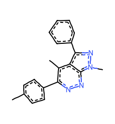 Cc1ccc(-c2nnc3c(c(-c4ccccc4)nn3C)c2C)cc1